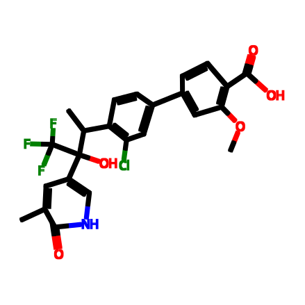 COc1cc(-c2ccc(C(C)C(O)(c3c[nH]c(=O)c(C)c3)C(F)(F)F)c(Cl)c2)ccc1C(=O)O